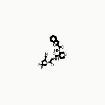 N#CC1CC(F)(F)CN1C(=O)CNC(=O)c1ccncc1NC(=O)c1cc2ccccc2o1